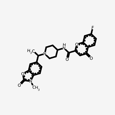 CC(c1ccc2c(c1)oc(=O)n2C)N1CCC(NC(=O)c2cc(=O)c3ccc(F)cc3o2)CC1